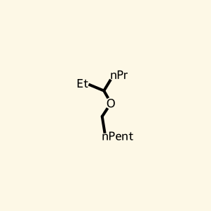 [CH2]CCC(CC)OCCCCCC